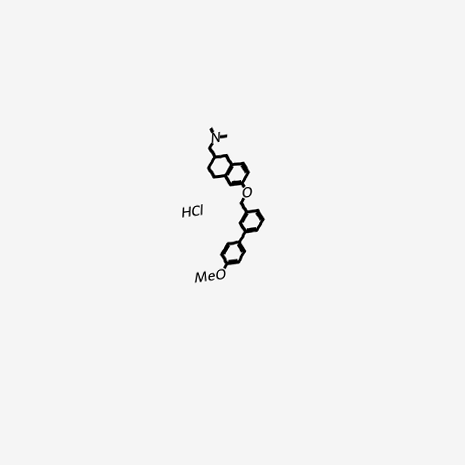 COc1ccc(-c2cccc(COc3ccc4c(c3)CCC(CN(C)C)C4)c2)cc1.Cl